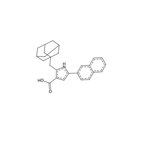 O=C(O)c1cc(-c2ccc3ccccc3c2)[nH]c1CC12CC3CC(CC(C3)C1)C2